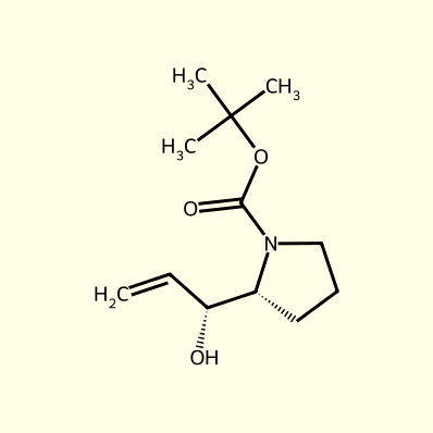 C=C[C@@H](O)[C@H]1CCCN1C(=O)OC(C)(C)C